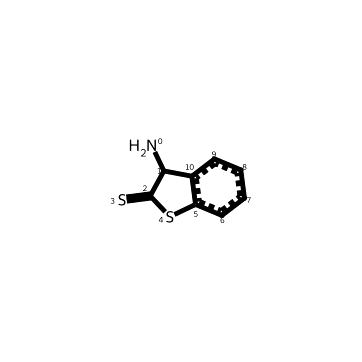 NC1C(=S)Sc2ccccc21